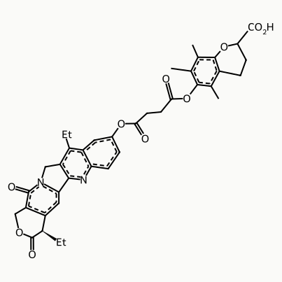 CCc1c2c(nc3ccc(OC(=O)CCC(=O)Oc4c(C)c(C)c5c(c4C)CCC(C(=O)O)O5)cc13)-c1cc3c(c(=O)n1C2)COC(=O)[C@@H]3CC